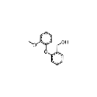 COc1ccccc1Oc1ccccc1CO